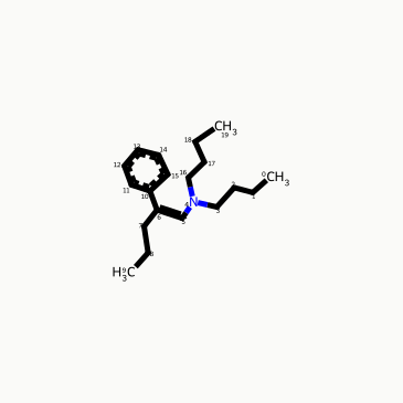 CCCCN(/[C]=C(/CCC)c1ccccc1)CCCC